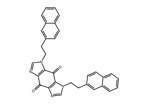 O=C1c2ncn(CCc3ccc4ccccc4c3)c2C(=O)c2c1ncn2CCc1ccc2ccccc2c1